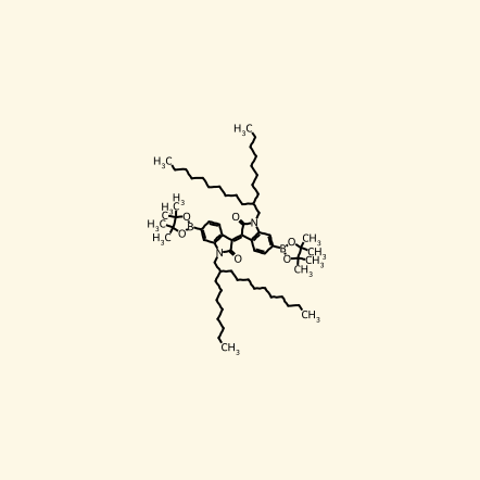 CCCCCCCCCCC(CCCCCCCC)CN1C(=O)/C(=C2/C(=O)N(CC(CCCCCCCC)CCCCCCCCCC)c3cc(B4OC(C)(C)C(C)(C)O4)ccc32)c2ccc(B3OC(C)(C)C(C)(C)O3)cc21